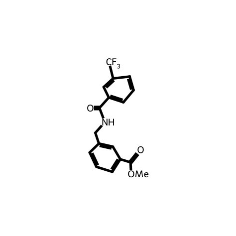 COC(=O)c1cccc(CNC(=O)c2cccc(C(F)(F)F)c2)c1